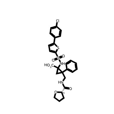 O=C(NCC1(c2ccccc2)CC1(NS(=O)(=O)c1ccc(-c2ccc(Cl)cc2)s1)C(=O)O)[C@@H]1CCCO1